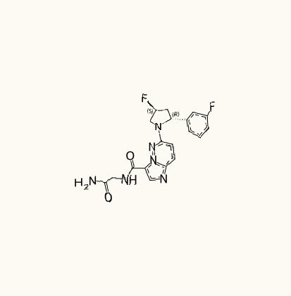 NC(=O)CNC(=O)c1cnc2ccc(N3C[C@@H](F)C[C@@H]3c3cccc(F)c3)nn12